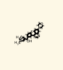 C=C/C(=C\N(C)C)C(O)c1ccc(F)c(-c2ncnc3cc(N4CCOCC4)ccc23)c1